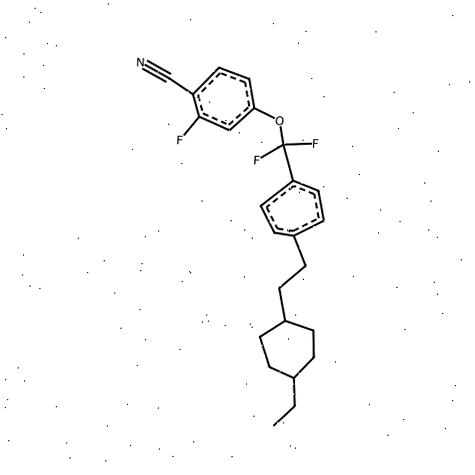 CCC1CCC(CCc2ccc(C(F)(F)Oc3ccc(C#N)c(F)c3)cc2)CC1